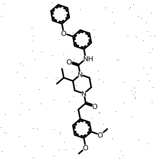 COc1ccc(CC(=O)N2CCN(C(=O)Nc3cccc(Oc4ccccc4)c3)C(C(C)C)C2)cc1OC